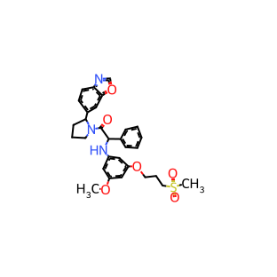 COc1cc(NC(C(=O)N2CCCC2c2ccc3ncoc3c2)c2ccccc2)cc(OCCCS(C)(=O)=O)c1